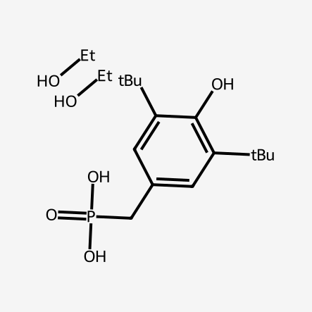 CC(C)(C)c1cc(CP(=O)(O)O)cc(C(C)(C)C)c1O.CCO.CCO